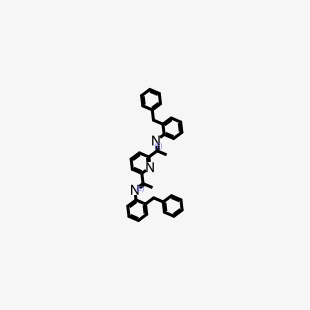 C/C(=N\c1ccccc1Cc1ccccc1)c1cccc(/C(C)=N/c2ccccc2Cc2ccccc2)n1